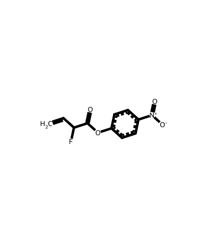 C=CC(F)C(=O)Oc1ccc([N+](=O)[O-])cc1